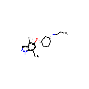 CCCN[C@@H]1CCC[C@H](Oc2cc(C)c3[nH]ncc3c2C)C1